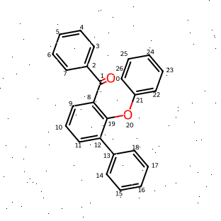 O=C(c1ccccc1)c1cccc(-c2ccccc2)c1Oc1ccccc1